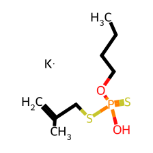 C=C(C)CSP(O)(=S)OCCCC.[K]